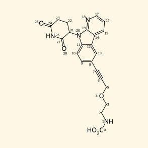 O=C(O)NCCOCC#Cc1ccc2c(c1)c1cccnc1n2C1CCC(=O)NC1=O